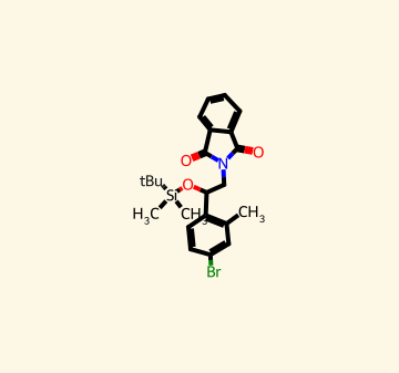 Cc1cc(Br)ccc1C(CN1C(=O)c2ccccc2C1=O)O[Si](C)(C)C(C)(C)C